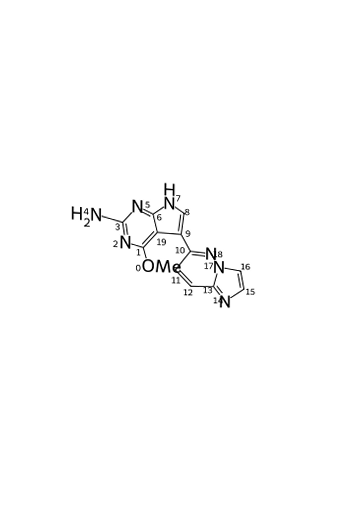 COc1nc(N)nc2[nH]cc(-c3ccc4nccn4n3)c12